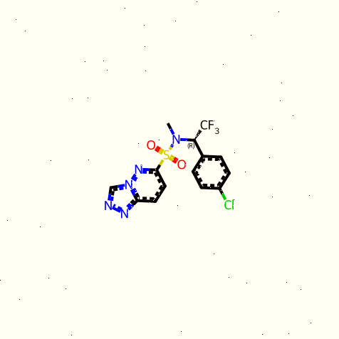 CN([C@H](c1ccc(Cl)cc1)C(F)(F)F)S(=O)(=O)c1ccc2nncn2n1